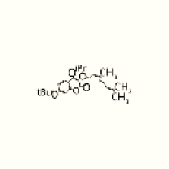 CC(C)=CCCC(C)=CCOc1c(OC(C)C)c2ccc(OC(C)(C)C)cc2oc1=O